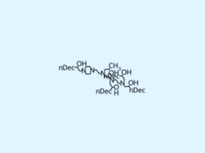 CCCCCCCCCCC(O)CN1CCN(CCN(CCN(CCN(CC(O)CCCCCCCCCC)CC(O)CCCCCCCCCC)CC(O)CCCCCCCCCC)CC(C)O)CC1